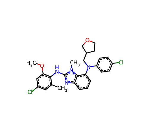 COc1cc(Cl)cc(C)c1Nc1nc2cccc(N(CC3CCOC3)c3ccc(Cl)cc3)c2n1C